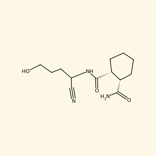 N#CC(CCCO)NC(=O)[C@@H]1CCCC[C@@H]1C(N)=O